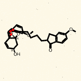 COc1ccc2c(c1)CC(CCCCN1CCC34C=C[C@H](O)C[C@H]3Oc3c(OC)ccc(c34)C1)C2=O